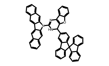 c1ccc2c(c1)-c1ccccc1C21c2ccccc2-c2cc(C3NC(n4c5cc6ccccc6cc5c5cc6ccccc6cc54)=Nc4c3oc3ccccc43)ccc21